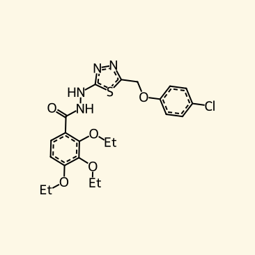 CCOc1ccc(C(=O)NNc2nnc(COc3ccc(Cl)cc3)s2)c(OCC)c1OCC